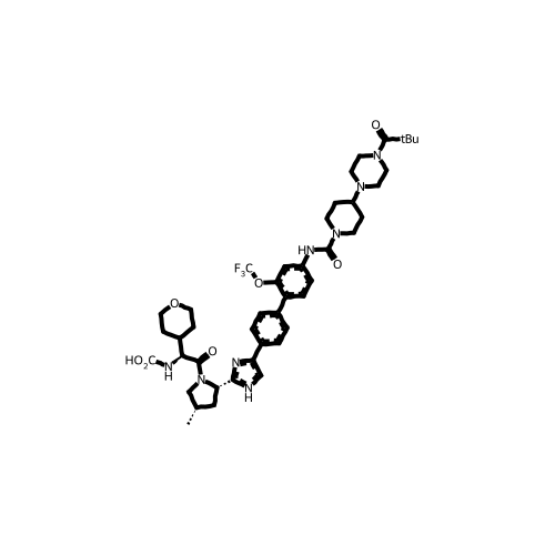 C[C@H]1C[C@@H](c2nc(-c3ccc(-c4ccc(NC(=O)N5CCC(N6CCN(C(=O)C(C)(C)C)CC6)CC5)cc4OC(F)(F)F)cc3)c[nH]2)N(C(=O)[C@@H](NC(=O)O)C2CCOCC2)C1